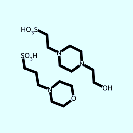 O=S(=O)(O)CCCN1CCOCC1.O=S(=O)(O)CCN1CCN(CCO)CC1